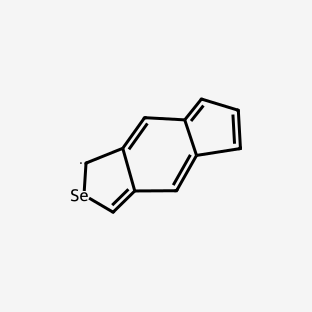 [CH]1[Se]C=c2cc3c(cc21)=CC=C3